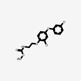 CC(C)(C)OC(=O)NCCOc1ccc(Oc2cccc(Cl)c2)cc1Cl